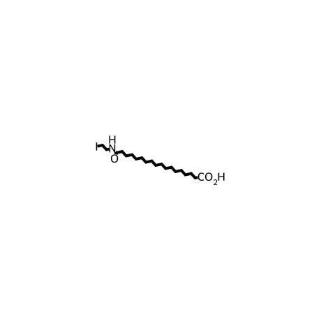 O=C(O)CCCCCCCCCCCCCCCCC(=O)NCCI